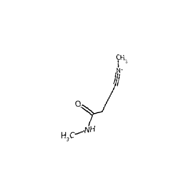 C[N+]#CCC(=O)NC